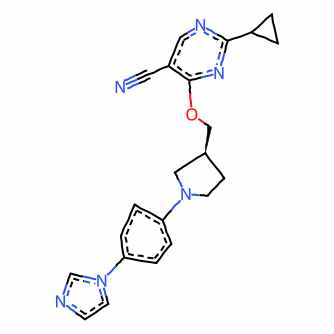 N#Cc1cnc(C2CC2)nc1OC[C@H]1CCN(c2ccc(-n3ccnc3)cc2)C1